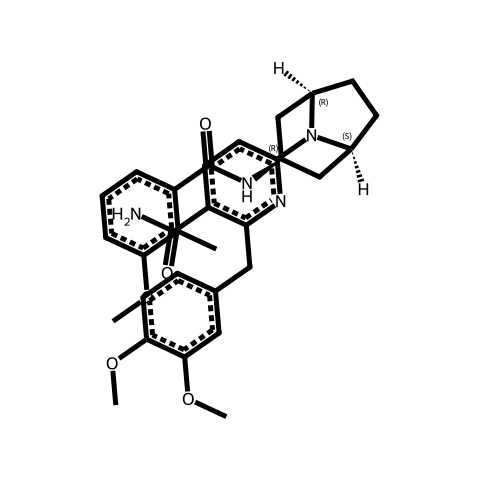 COc1ccc(Cc2nc(N3[C@@H]4CC[C@H]3C[C@@H](NC(=O)c3cccc(OC)c3C)C4)ccc2C(N)=O)cc1OC